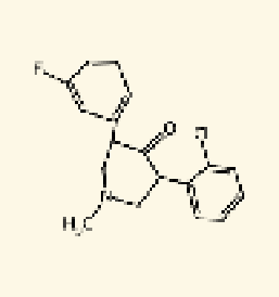 CN1CC(c2cccc(F)c2)C(=O)C(c2ccccc2Cl)C1